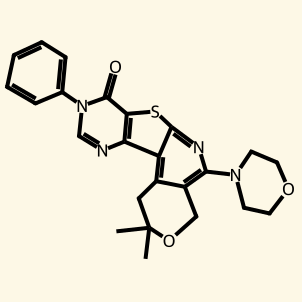 CC1(C)Cc2c(c(N3CCOCC3)nc3sc4c(=O)n(-c5ccccc5)cnc4c23)CO1